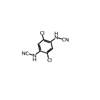 N#CNc1cc(Cl)c(NC#N)cc1Cl